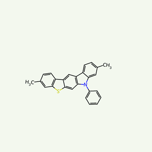 Cc1ccc2c(c1)sc1cc3c(cc12)c1ccc(C)cc1n3-c1ccccc1